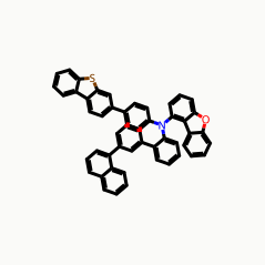 c1cc(-c2ccccc2N(c2ccc(-c3ccc4c(c3)sc3ccccc34)cc2)c2cccc3oc4ccccc4c23)cc(-c2cccc3ccccc23)c1